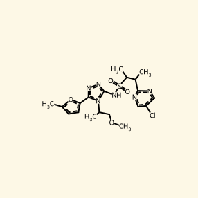 COCC(C)n1c(NS(=O)(=O)C(C)C(C)c2ncc(Cl)cn2)nnc1-c1ccc(C)o1